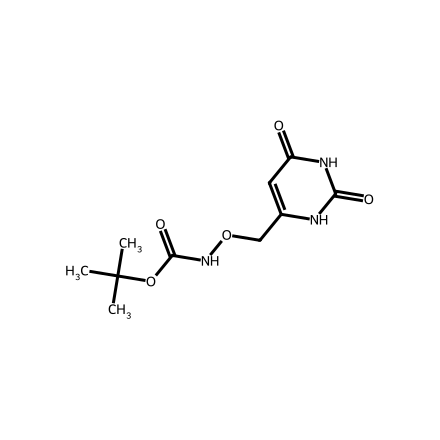 CC(C)(C)OC(=O)NOCc1cc(=O)[nH]c(=O)[nH]1